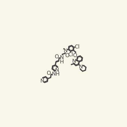 Cc1cc(N2CCCCC2)c2cccc(OCc3c(Cl)ccc(N(C)C(=O)CNC(=O)C=Cc4ccc(NC(=O)Cc5ccncc5)nc4)c3Cl)c2n1